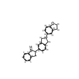 c1ccc2c(c1)CC(c1ccc3c(c1)CN(c1ccc4c(c1)CCO4)C3)N2